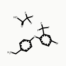 NCc1ccc(Oc2ccc(Br)cc2C(F)(F)F)cc1.O=C(O)C(F)(F)F